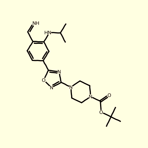 CC(C)Nc1cc(-c2nc(N3CCN(C(=O)OC(C)(C)C)CC3)no2)ccc1C=N